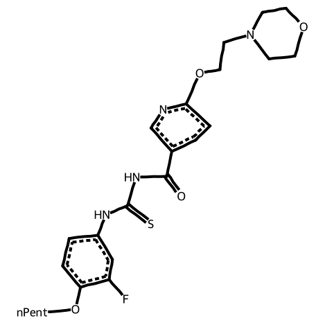 CCCCCOc1ccc(NC(=S)NC(=O)c2ccc(OCCN3CCOCC3)nc2)cc1F